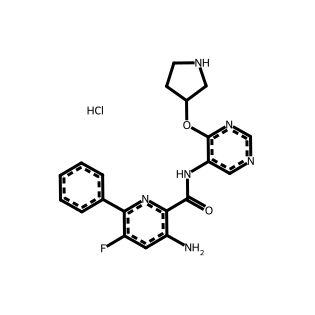 Cl.Nc1cc(F)c(-c2ccccc2)nc1C(=O)Nc1cncnc1OC1CCNC1